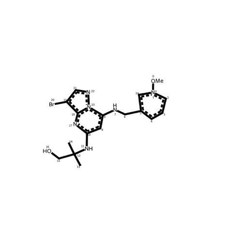 CO[n+]1cccc(CNc2cc(NC(C)(C)CO)nc3c(Br)cnn23)c1